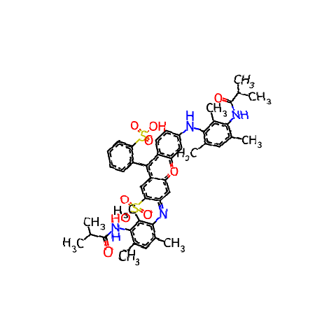 Cc1cc(C)c(NC(=O)C(C)C)c(C)c1/N=c1/cc2oc3cc(Nc4c(C)cc(C)c(NC(=O)C(C)C)c4C)ccc3c(-c3ccccc3S(=O)(=O)O)c-2cc1S(=O)(=O)O